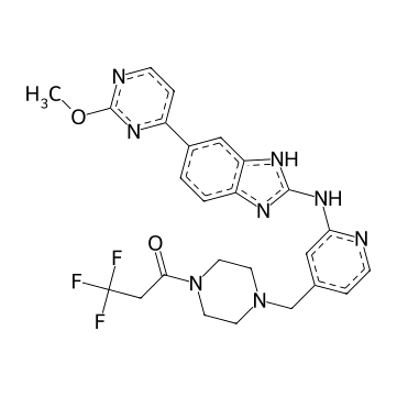 COc1nccc(-c2ccc3nc(Nc4cc(CN5CCN(C(=O)CC(F)(F)F)CC5)ccn4)[nH]c3c2)n1